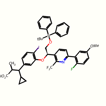 COc1ccc(F)c(-c2ccc([C@H](CO[Si](c3ccccc3)(c3ccccc3)C(C)(C)C)Oc3cc(C(C4CC4)C(C)C(=O)O)ccc3I)c(C(F)(F)F)n2)c1